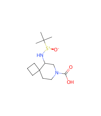 CC(C)(C)[S@@+]([O-])NC1CN(C(=O)O)CCC12CCC2